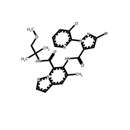 COCC(C)(C)NC(=O)c1c(NC(=O)c2cc(Br)nn2-c2ncccc2Cl)c(C)cc2ccnn12